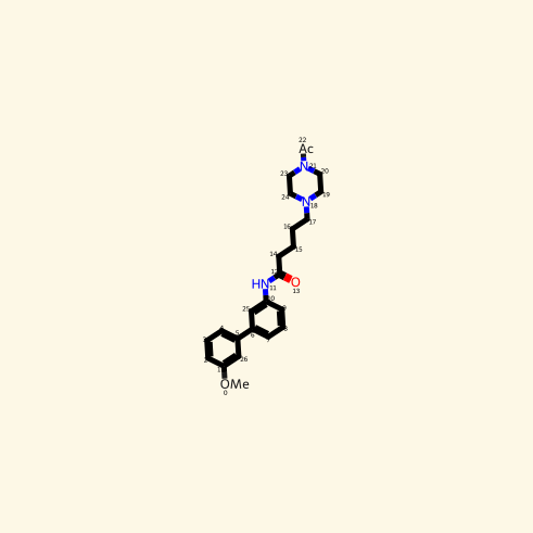 COc1cccc(-c2cccc(NC(=O)CCCCN3CCN(C(C)=O)CC3)c2)c1